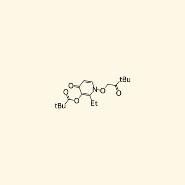 CCc1c(OC(=O)C(C)(C)C)c(=O)ccn1OCC(=O)C(C)(C)C